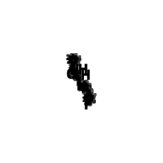 O=C(NCCCN1CCC(Cc2ccc(F)cc2)CC1)NCc1ccccc1